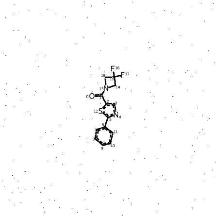 O=C(c1cnc(-c2ccccc2)s1)N1CC(F)(F)C1